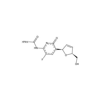 CCCCCCC(=O)Nc1nc(=O)n([C@H]2C=C[C@@H](CO)O2)cc1F